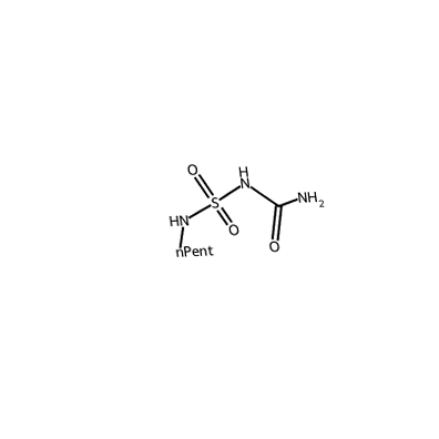 CCCCCNS(=O)(=O)NC(N)=O